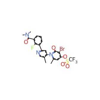 Cc1cnc(-c2cccc(C(=O)N(C)C)c2F)cc1-n1c(C)cc(OS(=O)(=O)C(F)(F)F)c(Br)c1=O